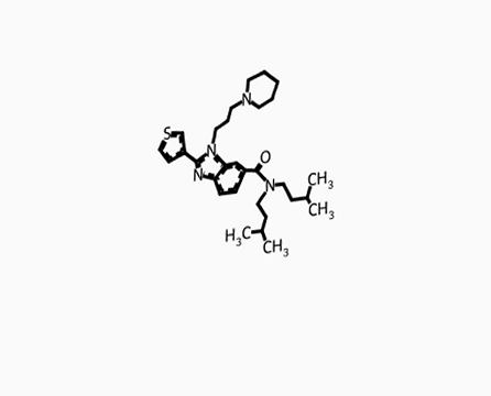 CC(C)CCN(CCC(C)C)C(=O)c1ccc2nc(-c3ccsc3)n(CCCN3CCCCC3)c2c1